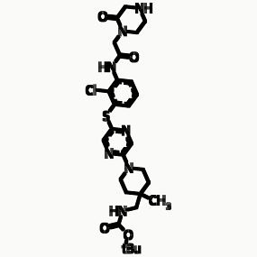 CC1(CNC(=O)OC(C)(C)C)CCN(c2cnc(Sc3cccc(NC(=O)CN4CCNCC4=O)c3Cl)cn2)CC1